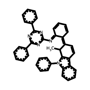 CC1/C(=C2/C=CC=C/C2=N\c2nc(-c3ccccc3)nc(-c3ccccc3)n2)C=Cc2c1n(-c1ccccc1)c1ccccc21